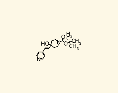 CC(C)(C)OC(=O)N1CCC(O)(/C=C/c2ccncc2)CC1